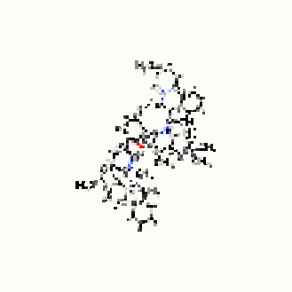 C=C1C2c3ccccc3-c3ccc(C)c[n+]3C2CCc2ccc3c(oc4nc(-c5c(C(C)C)ccc(-c6ccccc6)c5C(C)C)ccc43)c2-c2cc(C)c(CC(C)(C)C)c[n+]21